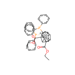 CCOC(=O)[C]12[CH]3[CH]4[CH]5[C]1(P(c1ccccc1)c1ccccc1)[Ru]43521678[CH]2[CH]1[C]6(C(=O)OCC)[C@@]7(P(c1ccccc1)c1ccccc1)[CH]28